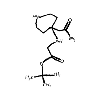 CC(C)(C)OC(=O)CNC1(C(N)=O)CCNCC1